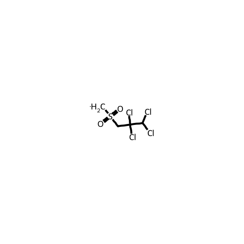 [CH2]S(=O)(=O)CC(Cl)(Cl)C(Cl)Cl